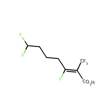 O=C(O)C(=C(F)CCCC(F)F)C(F)(F)F